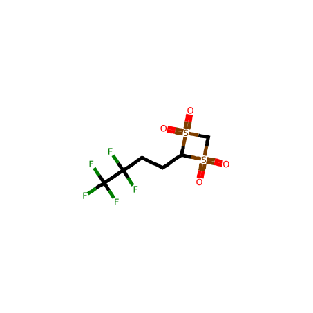 O=S1(=O)CS(=O)(=O)C1CCC(F)(F)C(F)(F)F